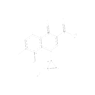 Cc1ccc2c(=O)c(C(=O)O)cn([C@@H]3C[C@@H]3F)c2c1C